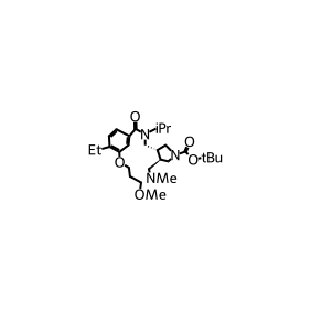 CCc1ccc(C(=O)N(C[C@@H]2CN(C(=O)OC(C)(C)C)C[C@H]2CNC)C(C)C)cc1OCCCOC